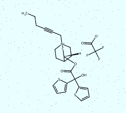 CCCC#CC[N+]12CCC(CC1)[C@@H](OC(=O)C(O)(c1cccs1)c1cccs1)C2.O=C([O-])C(F)(F)F